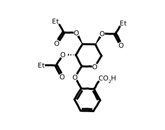 CCC(=O)O[C@H]1[C@@H](OC(=O)CC)COC(Oc2ccccc2C(=O)O)[C@@H]1OC(=O)CC